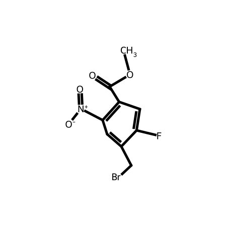 COC(=O)c1cc(F)c(CBr)cc1[N+](=O)[O-]